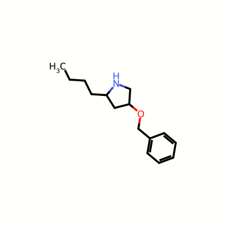 CCCCC1CC(OCc2ccccc2)CN1